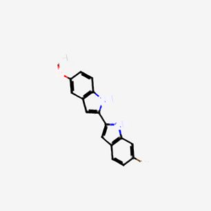 COc1ccc2[nH]c(-c3cc4ccc(Br)cc4[nH]3)cc2c1